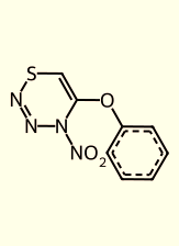 O=[N+]([O-])N1N=NSC=C1Oc1ccccc1